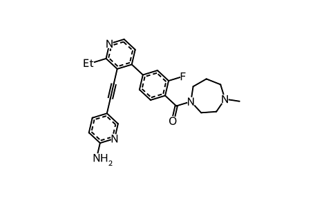 CCc1nccc(-c2ccc(C(=O)N3CCCN(C)CC3)c(F)c2)c1C#Cc1ccc(N)nc1